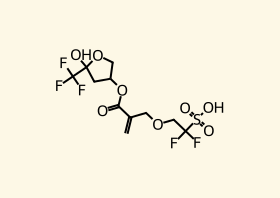 C=C(COCC(F)(F)S(=O)(=O)O)C(=O)OC1COC(O)(C(F)(F)F)C1